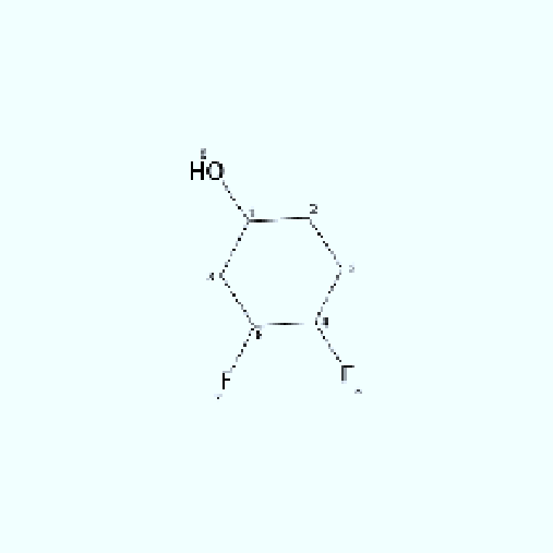 OC1CCC(F)C(F)C1